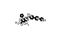 CC(=O)c1c(C)c2cnc(Nc3ccc(C4=CCN(C5CCNC5)CC4)cn3)nc2n(C2CCCC2)c1=O